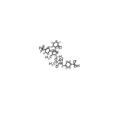 Cc1c(COC(C)(C)C(=O)NCc2ccc(C(=O)O)cc2)nn(-c2ccccc2Cl)c1-c1ccc(C(F)(F)F)cc1